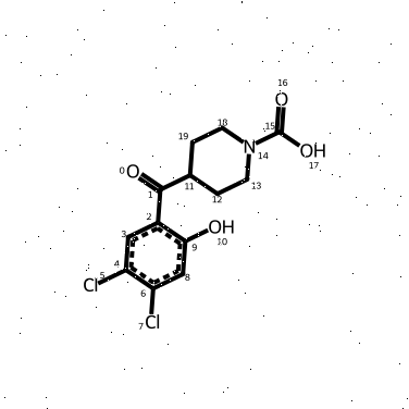 O=C(c1cc(Cl)c(Cl)cc1O)C1CCN(C(=O)O)CC1